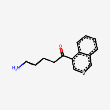 NCCCCC(=O)c1cbcc2ccccc12